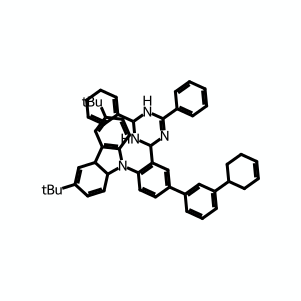 CC(C)(C)C1=CC2c3cc(C(C)(C)C)ccc3N(c3ccc(-c4cccc(C5CC=CCC5)c4)cc3C3N=C(c4ccccc4)NC(C4=CCCC=C4)N3)C2C=C1